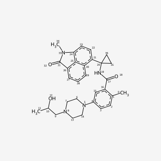 Cc1ccc(N2CCN(CC(C)O)CC2)cc1C(=O)NC1(c2ccc3c4c(cccc24)C(=O)N3C)CC1